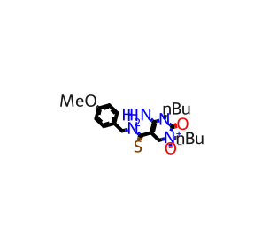 CCCCN1C(=O)[N+]([O-])(CCCC)CC(C(=S)NCc2ccc(OC)cc2)=C1N